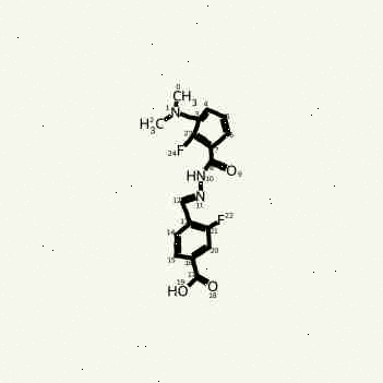 CN(C)c1cccc(C(=O)N/N=C/c2ccc(C(=O)O)cc2F)c1F